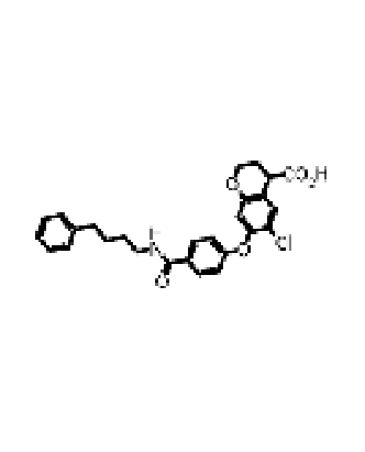 O=C(NCCCCc1ccccc1)c1ccc(Oc2cc3c(cc2Cl)C(C(=O)O)CCO3)cc1